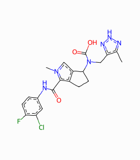 Cc1n[nH]nc1CN(C(=O)O)C1CCc2c1cn(C)c2C(=O)Nc1ccc(F)c(Cl)c1